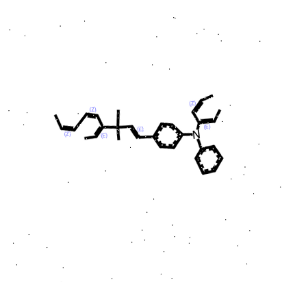 C\C=C/C=C\C(=C/C)C(C)(C)/C=C/c1ccc(N(C(/C=C\C)=C/C)c2ccccc2)cc1